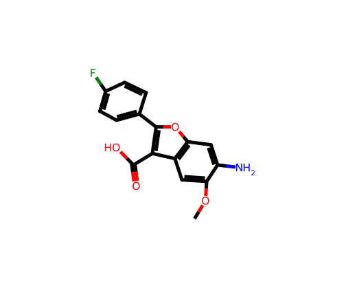 COc1cc2c(C(=O)O)c(-c3ccc(F)cc3)oc2cc1N